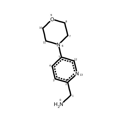 NCc1ccc(N2CCOCC2)cn1